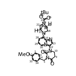 COc1ccc(CN2C(=O)CCN(c3cnc4c(N5C[C@H]6C[C@@H]5CN6C(=O)OC(C)(C)C)cccn34)C2=O)cc1